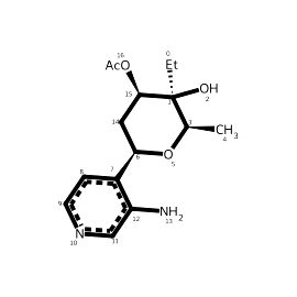 CC[C@]1(O)[C@@H](C)O[C@@H](c2ccncc2N)C[C@H]1OC(C)=O